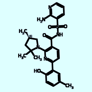 Cc1ccc(O)c(-c2ccc(C(=O)NS(=O)(=O)c3cccnc3N)c(N3C[C@@H](C)CC3(C)C)n2)c1